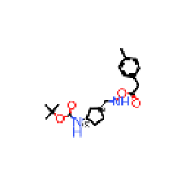 Cc1ccc(CC(=O)ONC[C@H]2CC[C@H](NC(=O)OC(C)(C)C)C2)cc1